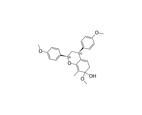 COc1ccc([C@@H]2C[C@H](c3ccc(OC)cc3)OC3=C(C)C(O)(OC)CC=C32)cc1